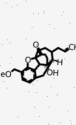 C=CCC1CCC23Oc4c(COC)ccc5c4C2[C@@](O)(CCC3=O)[C@H]1C5